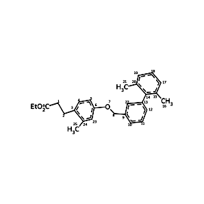 CCOC(=O)CCc1ccc(OCc2cccc(-c3c(C)cccc3C)c2)cc1C